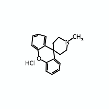 CN1CCC2(CC1)c1ccccc1Oc1ccccc12.Cl